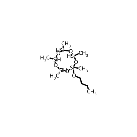 CCCCO[Si]1(C)O[SiH](C)O[SiH](C)O[SiH](C)O[SiH](C)O1